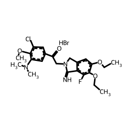 Br.CCOc1cc2c(c(F)c1OCC)C(=N)N(CC(=O)c1cc(Cl)c(OC)c(N(C)C)c1)C2